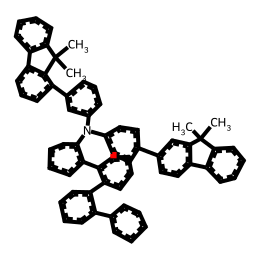 CC1(C)c2ccccc2-c2ccc(-c3ccc(N(c4cccc(-c5cccc6c5C(C)(C)c5ccccc5-6)c4)c4ccccc4-c4ccccc4-c4ccccc4-c4ccccc4)cc3)cc21